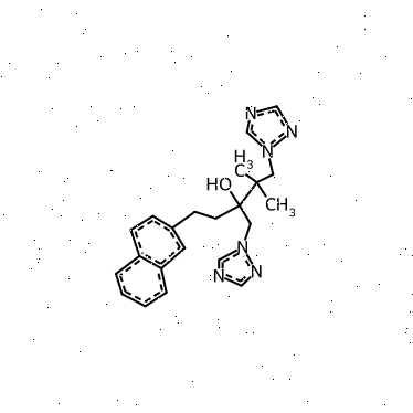 CC(C)(Cn1cncn1)C(O)(CCc1ccc2ccccc2c1)Cn1cncn1